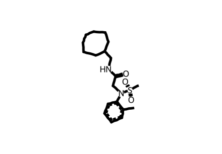 Cc1ccccc1N(CC(=O)NCC1CCCCCCC1)S(C)(=O)=O